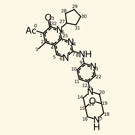 CC(=O)c1c(C)c2cnc(Nc3ccc(N4CC5CNCC(C4)O5)cn3)nc2n(C2CCCC2)c1=O